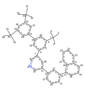 CC(C)(C)c1cc(-c2cncc(-c3cccc(-c4cccc5ccccc45)c3)c2)cc(-c2cc(C(C)(C)C)cc(C(C)(C)C)c2)c1